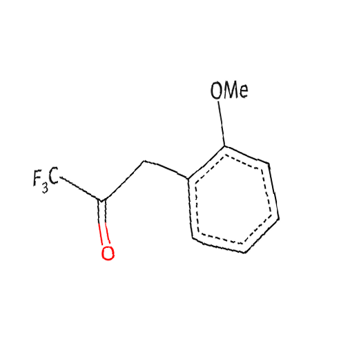 COc1ccccc1CC(=O)C(F)(F)F